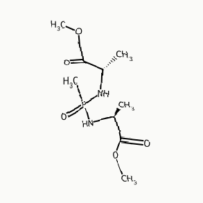 COC(=O)[C@H](C)NP(C)(=O)N[C@@H](C)C(=O)OC